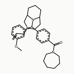 C=CCN1CCC2CCCC(C1)N2C(c1ccc(C(=O)N2CCCCCC2)cc1)c1cccc(OC)c1